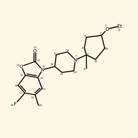 CCOC1CCC(C)(N2CCC(n3c(=O)oc4cc(F)c(C)cc43)CC2)CC1